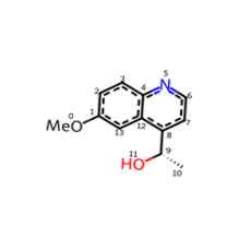 COc1ccc2nccc([C@H](C)O)c2c1